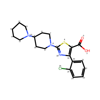 O=C(O)c1sc(N2CCC(N3CCCCC3)CC2)nc1-c1ccccc1Cl